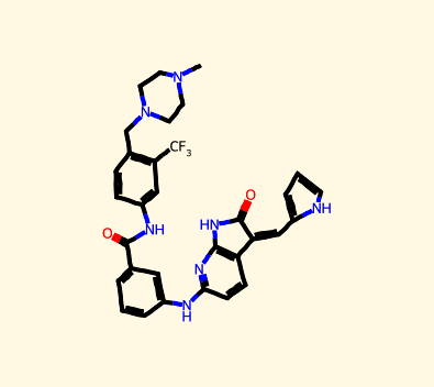 CN1CCN(Cc2ccc(NC(=O)c3cccc(Nc4ccc5c(n4)NC(=O)/C5=C\c4ccc[nH]4)c3)cc2C(F)(F)F)CC1